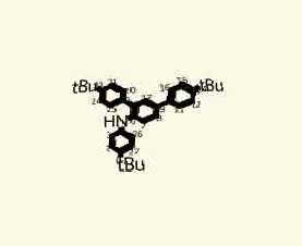 CC(C)(C)c1ccc(Nc2ccc(-c3ccc(C(C)(C)C)cc3)cc2-c2ccc(C(C)(C)C)cc2)cc1